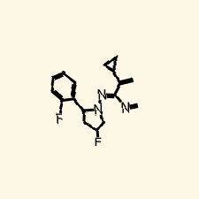 C=N/C(=N\N1CC(F)CC1c1ccccc1F)C(=C)C1CC1